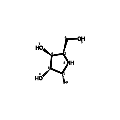 C[C@H]1N[C@H](CO)[C@H](O)[C@H]1O